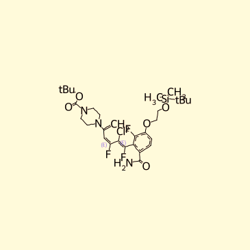 C=C(/C=C(F)\C(Cl)=C(/F)c1c(C(N)=O)ccc(OCCO[Si](C)(C)C(C)(C)C)c1F)N1CCN(C(=O)OC(C)(C)C)CC1